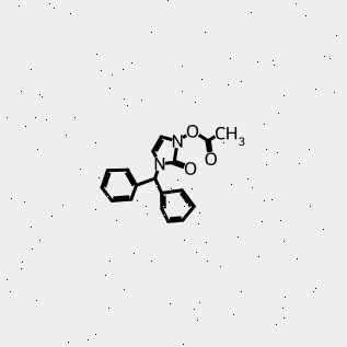 CC(=O)On1ccn(C(c2ccccc2)c2ccccc2)c1=O